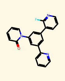 O=c1ccccn1-c1cc(-c2ccccn2)cc(-c2cccnc2F)c1